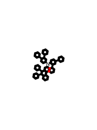 c1ccc(-c2ccc(N(c3ccc(-c4ccccc4)c(-c4ccccc4)c3)c3ccc4c(c3)c(-c3ccccc3)c(-c3ccccc3)c3ccccc34)c(-c3ccccc3)c2)cc1